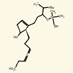 CCCCC(C)C(CCC1=CCC(O)[C@@H]1CCC=C=CCC(=O)O)O[Si](C)(C)C(C)(C)C